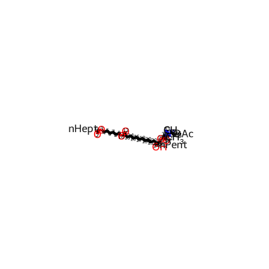 CCCCCCCC(=O)OCCCCCCOC(=O)CCCCCCCC=CCC(O)C(CCCCC)OC(=O)C[N+](C)(C)CCOC(C)=O